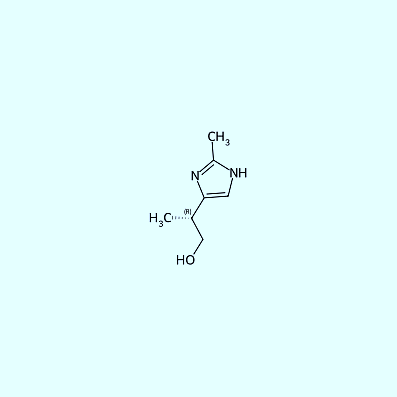 Cc1nc([C@@H](C)CO)c[nH]1